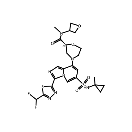 CN(C(=O)[C@@H]1CN(c2cc(S(=O)(=O)NC3(C)CC3)cn3c(-c4nnc(C(F)F)s4)ncc23)CCO1)C1COC1